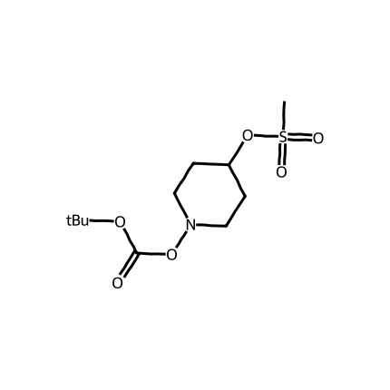 CC(C)(C)OC(=O)ON1CCC(OS(C)(=O)=O)CC1